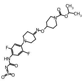 CC(C)OC(=O)N1CCC(ON=C2CCN(c3cc(F)c(NC(=O)N=S(=O)=O)cc3F)CC2)CC1